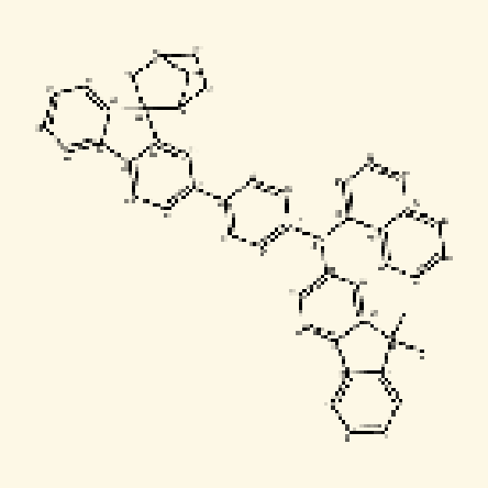 CC1(C)c2ccccc2-c2ccc(N(c3ccc(-c4ccc5c(c4)C4(CC6CCC4C6)c4ccccc4-5)cc3)c3cccc4ccccc34)cc21